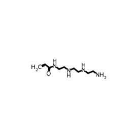 C=CC(=O)NCCNCCNCCN